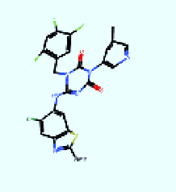 CNc1nc2cc(Cl)c(Nc3nc(=O)n(-c4cncc(C)c4)c(=O)n3Cc3cc(F)c(F)cc3F)cc2s1